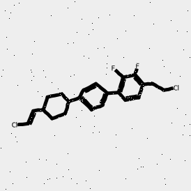 Fc1c(CCCl)ccc(-c2ccc(C3CCC(/C=C/Cl)CC3)cc2)c1F